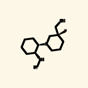 CC(C)N[C@H]1CCCC[C@@H]1N1CCC[C@](F)(CO)C1